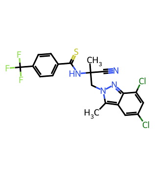 Cc1c2cc(Cl)cc(Cl)c2nn1CC(C)(C#N)NC(=S)c1ccc(C(F)(F)F)cc1